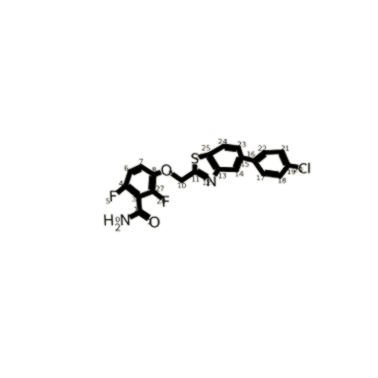 NC(=O)c1c(F)ccc(OCc2nc3cc(-c4ccc(Cl)cc4)ccc3s2)c1F